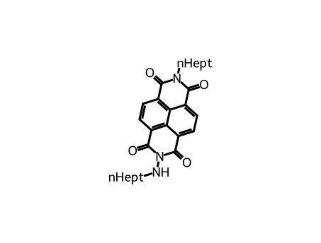 CCCCCCCNN1C(=O)c2ccc3c4c(ccc(c24)C1=O)C(=O)N(CCCCCCC)C3=O